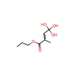 CCCOC(=O)C(C)=CC(O)(O)O